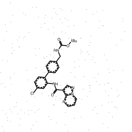 CC(C)(C)OC(=O)NCc1ccc(-c2ccc(Cl)cc2NC(=O)c2cnn3cccnc23)cc1